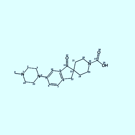 CN1CCN(c2ccc3c(c2)C(=O)C2(CCN(C(=O)O)CC2)C3)CC1